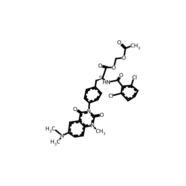 CC(=O)OCOC(=O)[C@H](Cc1ccc(-n2c(=O)c3cc(N(C)C)ccc3n(C)c2=O)cc1)NC(=O)c1c(Cl)cccc1Cl